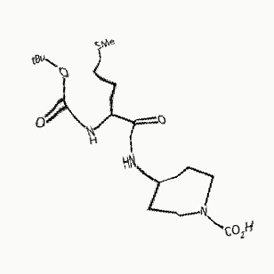 CSCCC(NC(=O)OC(C)(C)C)C(=O)NC1CCN(C(=O)O)CC1